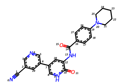 N#Cc1cncc(-c2c[nH]c(=O)c(NC(=O)c3ccc(N4CCCCC4)cc3)c2)c1